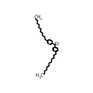 CCCCCCCCCCCCc1ccc(C(=O)c2ccc(CCCCCCCCCCCC)cc2)cc1